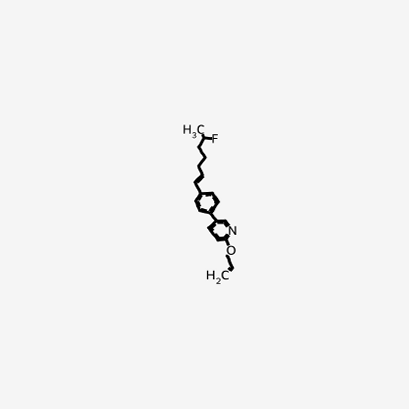 C=CCOc1ccc(-c2ccc(/C=C/CCCC(C)F)cc2)cn1